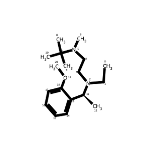 CCN(CCN(C)C(C)(C)C)[C@@H](C)c1ccccc1OC